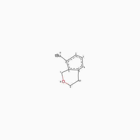 CC(C)(C)c1cccc2c1COCC2